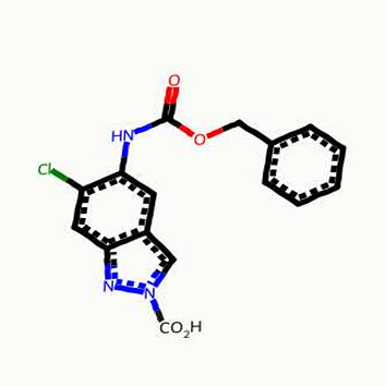 O=C(Nc1cc2cn(C(=O)O)nc2cc1Cl)OCc1ccccc1